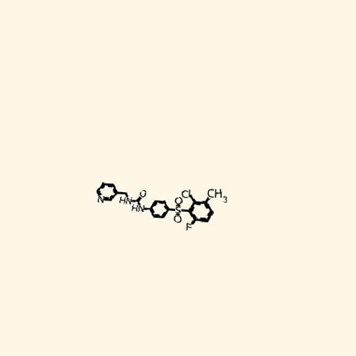 Cc1ccc(F)c(S(=O)(=O)c2ccc(NC(=O)NCc3cccnc3)cc2)c1Cl